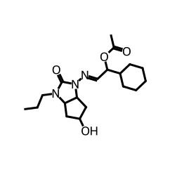 CCCN1C(=O)N(N=CC(OC(C)=O)C2CCCCC2)C2CC(O)CC21